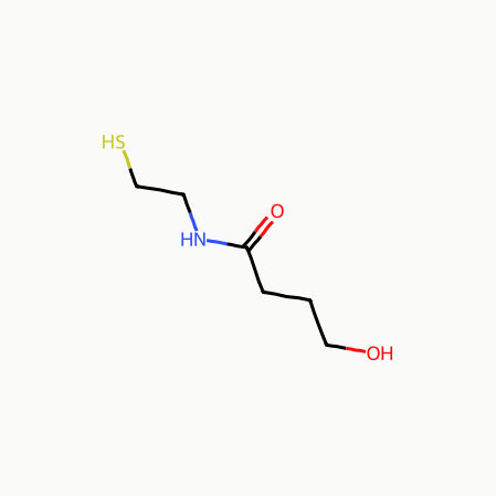 O=C(CCCO)NCCS